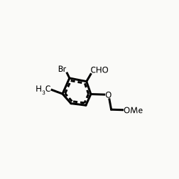 COCOc1ccc(C)c(Br)c1C=O